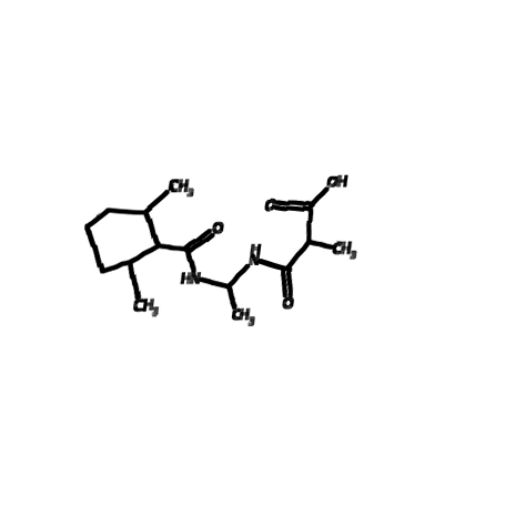 CC(NC(=O)C(C)C(=O)O)NC(=O)C1C(C)CCCC1C